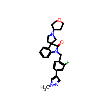 Cn1cc(-c2ccc(CN3C(=O)C4(CCN(C5CCOCC5)C4)c4ccccc43)c(F)c2)cn1